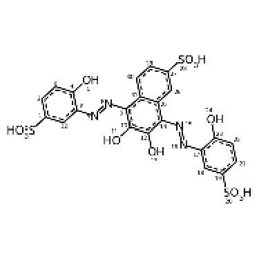 O=S(=O)(O)c1ccc(O)c(/N=N/c2c(O)c(O)c(/N=N/c3cc(S(=O)(=O)O)ccc3O)c3cc(S(=O)(=O)O)ccc23)c1